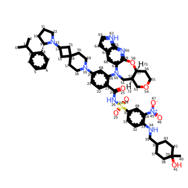 CC(C)c1ccccc1[C@@H]1CCCN1C1CC2(CCN(c3ccc(C(=O)NS(=O)(=O)c4ccc(NCC5CCC(C)(O)CC5)c([N+](=O)[O-])c4)c(N4C[C@@H]5COCC[C@@H]5Oc5nc6[nH]ccc6cc54)c3)CC2)C1